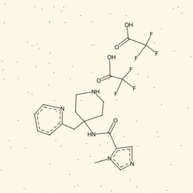 Cn1cncc1C(=O)NC1(Cc2ccccn2)CCNCC1.O=C(O)C(F)(F)F.O=C(O)C(F)(F)F